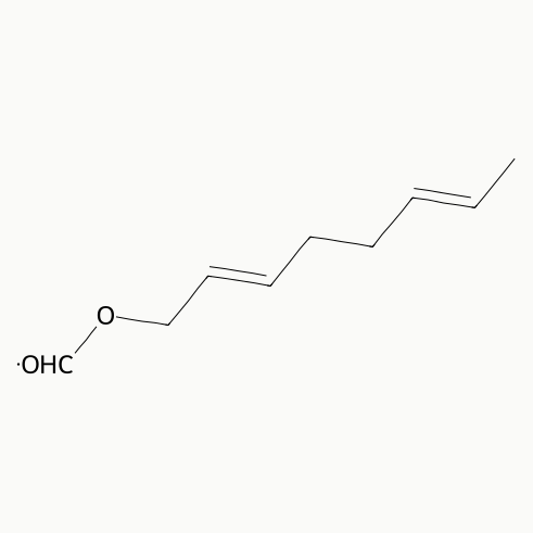 CC=CCCC=CCO[C]=O